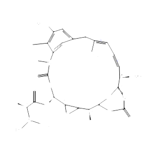 CC[C@@H](C(=O)O[C@H]1CC(=O)N(C)c2cc(cc(OC)c2Cl)C/C(C)=C/C=C/[C@@H](OC)[C@@]2(O)CC(OC(=O)N2)[C@@H](C)C2O[C@]21C)N(C)C(C)C